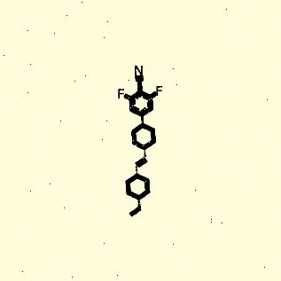 CC[C@H]1CC[C@H](C=C[C@H]2CC[C@H](c3cc(F)c(C#N)c(F)c3)CC2)CC1